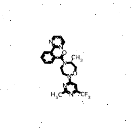 Cc1nc(N2CCN(C(=O)c3ccccc3-c3ncccn3)[C@H](C)CO2)cc(C(F)(F)F)n1